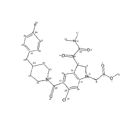 COC(=O)CN1CC(C(=O)C(=O)N(C)C)c2cc(C(=O)N3CCC(Cc4ccc(F)cc4)CC3)c(Cl)cc21